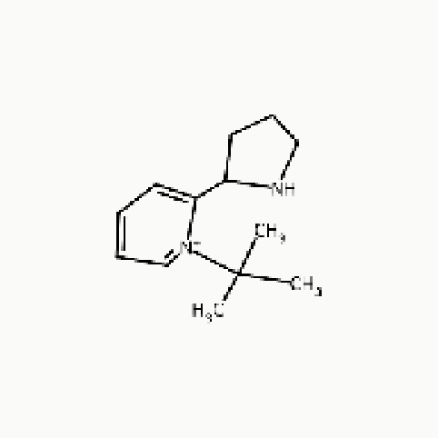 CC(C)(C)[n+]1ccccc1C1CCCN1